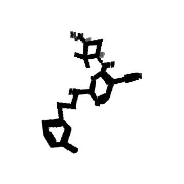 Cc1cccc(CCNc2ncc(C#N)c(N[C@H]3C[C@@H](N)C3(C)C)n2)c1